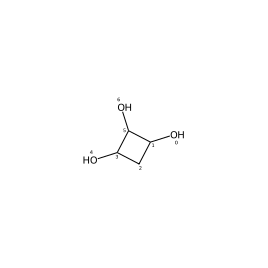 OC1CC(O)C1O